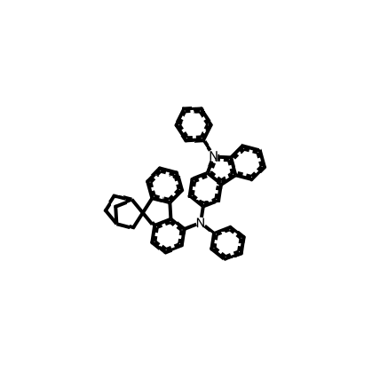 c1ccc(N(c2ccc3c(c2)c2ccccc2n3-c2ccccc2)c2cccc3c2-c2ccccc2C32CC3CCC2C3)cc1